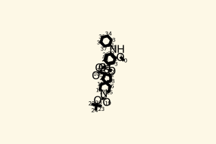 COc1cc(S(=O)(=O)C2(C(=O)O)CCC3(CCN(C(=O)OC(C)(C)C)CC3)C2)ccc1NC1CCCCC1